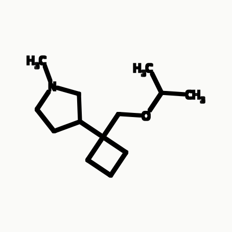 CC(C)OCC1(C2CCN(C)C2)CCC1